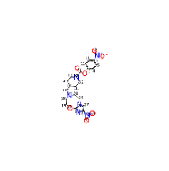 O=C(Oc1ccc([N+](=O)[O-])cc1)N1CCC(CN2CCOc3nc([N+](=O)[O-])cn3CC2)CC1